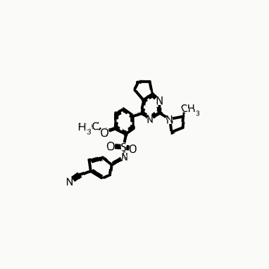 COc1ccc(-c2nc(N3CC[C@@H]3C)nc3c2CCC3)cc1S(=O)(=O)N=C1C=CC(C#N)=CC1